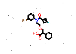 O=C(O)C(COCCN(C(=O)C12CC(F)(C1)C2)c1cccc(Br)c1)C1CCCCC1